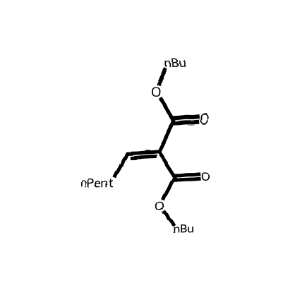 CCCCCC=C(C(=O)OCCCC)C(=O)OCCCC